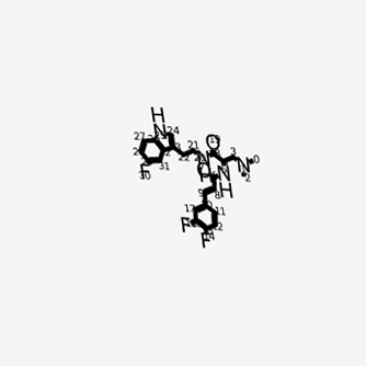 CN(C)CC(NC(=O)C=Cc1ccc(F)c(F)c1)C(=O)NCCc1c[nH]c2ccc(F)cc12